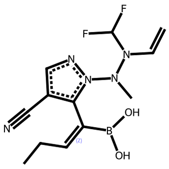 C=CN(C(F)F)N(C)n1ncc(C#N)c1/C(=C\CC)B(O)O